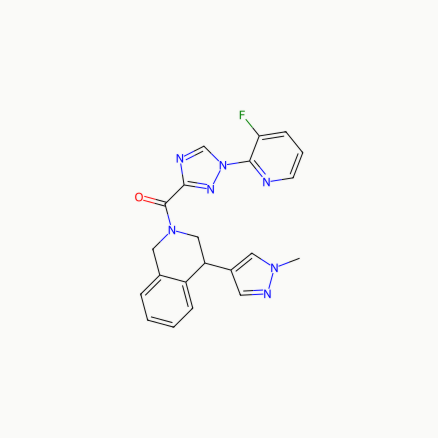 Cn1cc(C2CN(C(=O)c3ncn(-c4ncccc4F)n3)Cc3ccccc32)cn1